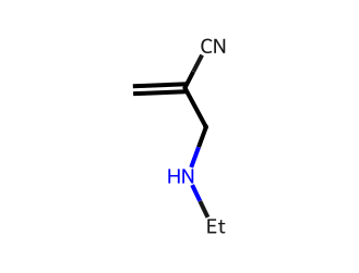 C=C(C#N)CNCC